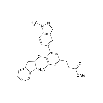 COC(=O)CCc1cc(N)c(OC2Cc3ccccc3C2)c(-c2ccc3c(cnn3C)c2)c1